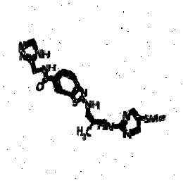 CSc1cnc(NC[C@H](C)CNc2nc3ccc(C(=O)NCc4nnc[nH]4)cc3s2)nc1